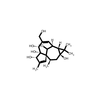 CC1=C[C@]23C(O)[C@@H](C=C(CO)[C@@H](O)[C@]2(O)[C@H]1O)[C@@H]1C(C)(C)[C@]1(O)C[C@H]3C